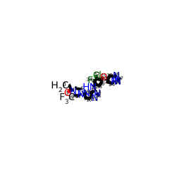 C=CC(=O)N1CCN(c2ccc3ncnc(Nc4ccc(Oc5ccn6ncnc6c5)c(Cl)c4F)c3n2)C[C@H]1C(F)(F)F